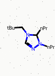 CCCC1N(CC(C)(C)C)C=NN1CCC